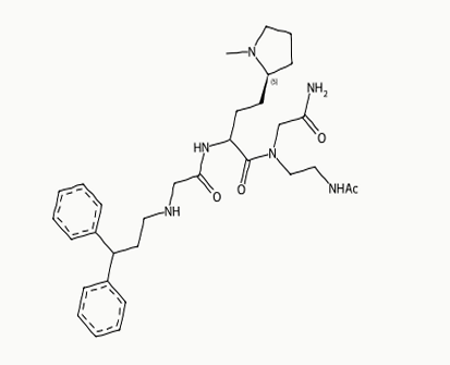 CC(=O)NCCN(CC(N)=O)C(=O)C(CC[C@@H]1CCCN1C)NC(=O)CNCCC(c1ccccc1)c1ccccc1